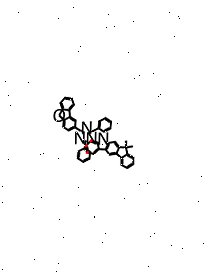 CC1(C)c2ccccc2-c2cc3c4ccccc4n(-c4ccccc4-c4nc(-c5ccccc5)nc(-c5ccc6oc7ccccc7c6c5)n4)c3cc21